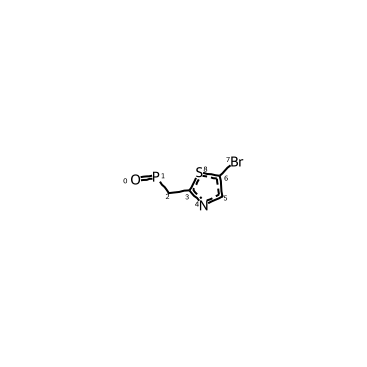 O=PCc1ncc(Br)s1